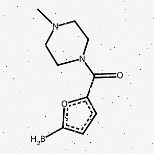 Bc1ccc(C(=O)N2CCN(C)CC2)o1